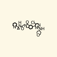 O=C(CN1Cc2ccc(-c3nc(NC4CCOCC4)ncc3Cl)cc2C1=O)NC1(c2ccccn2)CC1